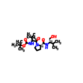 CC(C)[C@H](NC(=O)OC(C)(C)C)C(=O)N1CCC[C@H]1C(=O)N[C@H](CO)C(C)C